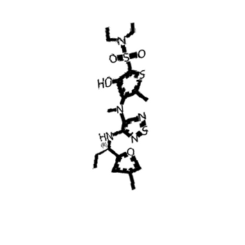 CC[C@@H](Nc1nsnc1N(C)c1c(C)sc(S(=O)(=O)N(CC)CC)c1O)c1cc(C)co1